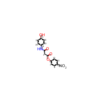 O=C(CC(=O)Oc1ccc([N+](=O)[O-])cc1)Nc1ccc(O)cc1